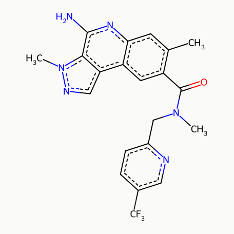 Cc1cc2nc(N)c3c(cnn3C)c2cc1C(=O)N(C)Cc1ccc(C(F)(F)F)cn1